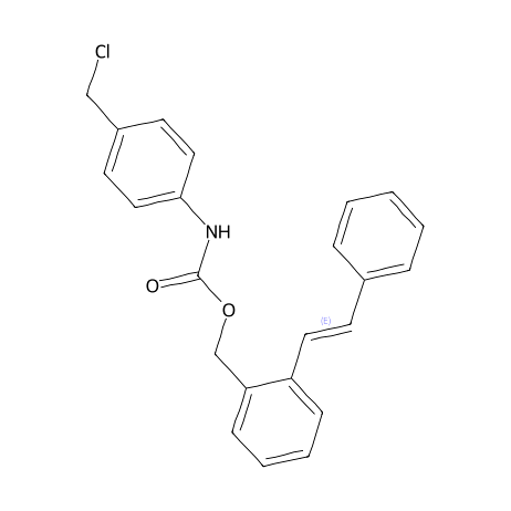 O=C(Nc1ccc(CCl)cc1)OCc1ccccc1/C=C/c1ccccc1